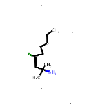 CCCCC/C(F)=C\C(C)(C)N